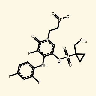 CCC1(S(=O)(=O)Nc2cn(CC[N+](=O)[O-])c(=O)c(F)c2Nc2ccc(I)cc2F)CC1